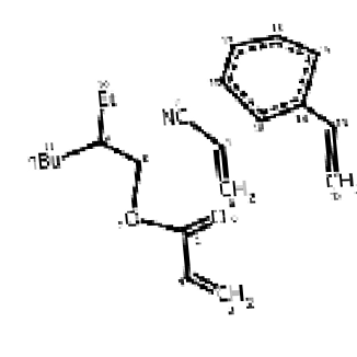 C=CC#N.C=CC(=O)OCC(CC)CCCC.C=Cc1ccccc1